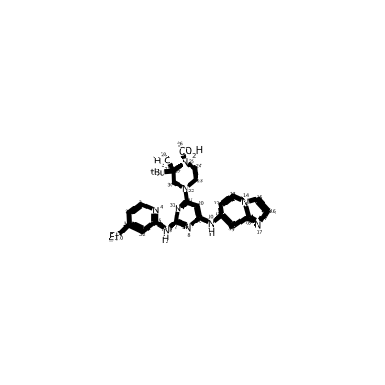 CCc1ccnc(Nc2nc(Nc3ccn4ccnc4c3)cc(N3CCN(C(=O)O)C(C)(C(C)(C)C)C3)n2)c1